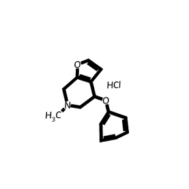 CN1Cc2occc2C(Oc2ccccc2)C1.Cl